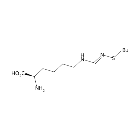 CCC(C)SN=CNCCCC[C@@H](N)C(=O)O